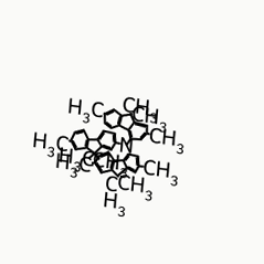 Cc1ccc2c(c1)C(C)(C)c1cc(N(c3cc(C)cc4c3-c3ccc(C)cc3C4(C)C)c3cc(C)cc4c3-c3ccc(C)cc3C4(C)C)ccc1-2